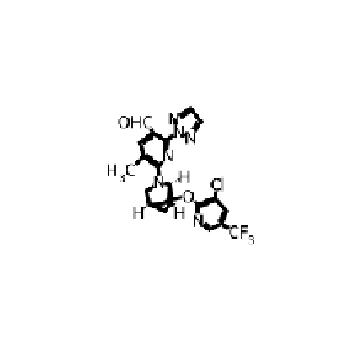 Cc1cc(C=O)c(-n2nccn2)nc1N1C[C@@H]2CC[C@H]1[C@H](Oc1ncc(C(F)(F)F)cc1Cl)C2